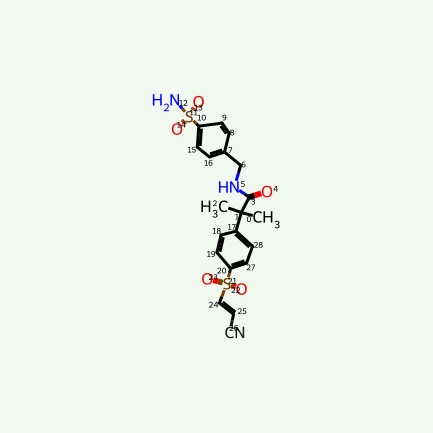 CC(C)(C(=O)NCc1ccc(S(N)(=O)=O)cc1)c1ccc(S(=O)(=O)/C=C/C#N)cc1